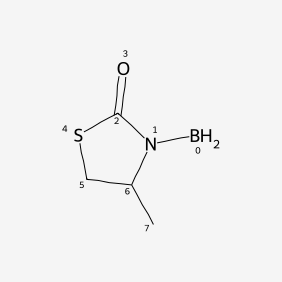 BN1C(=O)SCC1C